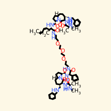 C=C(/C=C\C=C/C)[C@H](NC(=O)[C@@H]1CC[C@@H]2CC[C@H](CNCc3ccccc3)[C@H](NC(=O)[C@H](C)NC)C(=O)N21)C(=O)NCCCOCCOCCOCCCNC(=O)[C@@H](NC(=O)[C@@H]1CC[C@@H]2CC[C@H](CNCc3ccccc3)[C@H](NC(=O)[C@H](C)NC)C(=O)N21)c1ccccc1